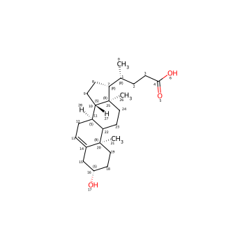 C[C@H](CCC(=O)O)[C@H]1CC[C@H]2[C@@H]3CC=C4C[C@@H](O)CC[C@]4(C)C3CC[C@]12C